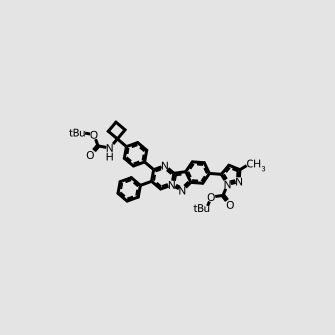 Cc1cc(-c2ccc3c(c2)nn2cc(-c4ccccc4)c(-c4ccc(C5(NC(=O)OC(C)(C)C)CCC5)cc4)nc32)n(C(=O)OC(C)(C)C)n1